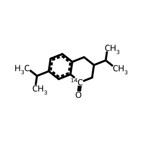 CC(C)c1ccc2c(c1)[14C](=O)CC(C(C)C)C2